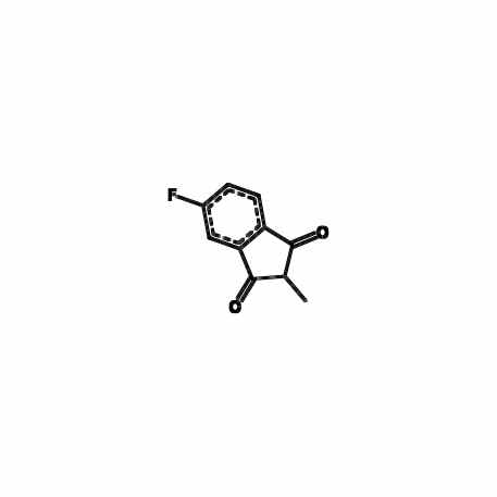 CC1C(=O)c2ccc(F)cc2C1=O